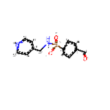 O=Cc1ccc(S(=O)(=O)NCc2ccncc2)cc1